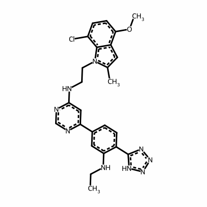 CCNc1cc(-c2cc(NCCn3c(C)cc4c(OC)ccc(Cl)c43)ncn2)ccc1-c1nnn[nH]1